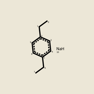 CCc1[c]cc(CC)cc1.[NaH]